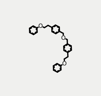 c1ccc(OCCc2ccc(COCc3ccc(CCOc4ccccc4)cc3)cc2)cc1